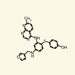 Cc1ccc2c(Nc3cc(NCc4ccoc4)ccc3Sc3ccc(O)cc3)ncnc2n1